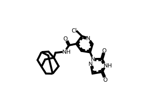 O=C(NCC12CC3CC(CC(C3)C1)C2)c1cc(-n2ncc(=O)[nH]c2=O)cnc1Cl